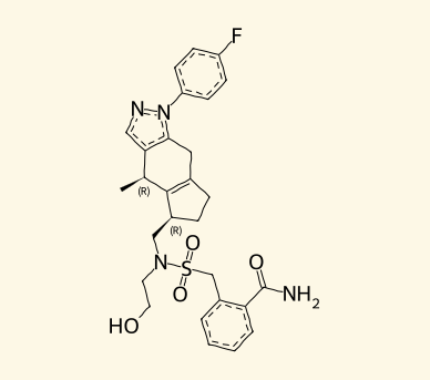 C[C@@H]1C2=C(CC[C@H]2CN(CCO)S(=O)(=O)Cc2ccccc2C(N)=O)Cc2c1cnn2-c1ccc(F)cc1